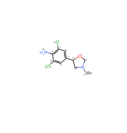 CC(C)(C)N1COC(c2cc(Cl)c(N)c(Cl)c2)C1